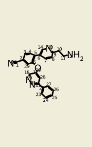 N#Cc1ccc(-c2ccc(CCN)nc2)c(Oc2cnnc(-c3ccccc3)c2)c1